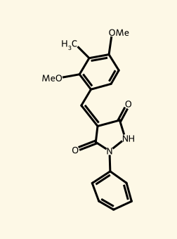 COc1ccc(/C=C2\C(=O)NN(c3ccccc3)C2=O)c(OC)c1C